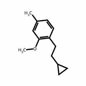 COc1cc(C)ccc1CCC1CC1